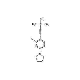 C[Si](C)(C)C#Cc1ccc(N2CCCC2)nc1F